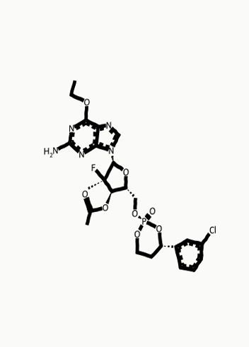 CCOc1nc(N)nc2c1ncn2[C@@H]1O[C@H](CO[P@@]2(=O)OCC[C@@H](c3cccc(Cl)c3)O2)[C@@H](OC(C)=O)[C@@]1(C)F